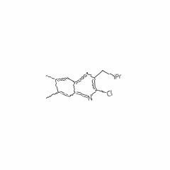 Cc1cc2cc(CC(C)C)c(Cl)nc2cc1C